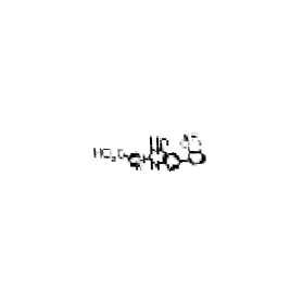 O=C(O)c1cnn(-c2nc3ccc(-c4ccccc4OC(F)(F)F)cc3c(=O)[nH]2)c1